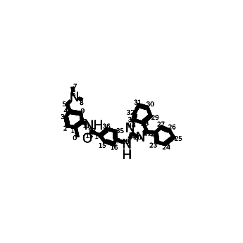 Cc1ccc(CN(C)C)cc1NC(=O)c1ccc(Nc2nc(-c3ccccc3)c3ccccc3n2)cc1